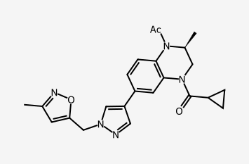 CC(=O)N1c2ccc(-c3cnn(Cc4cc(C)no4)c3)cc2N(C(=O)C2CC2)C[C@@H]1C